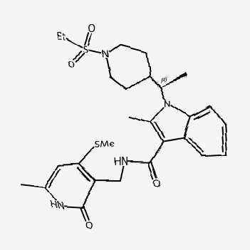 CCS(=O)(=O)N1CCC([C@@H](C)n2c(C)c(C(=O)NCc3c(SC)cc(C)[nH]c3=O)c3ccccc32)CC1